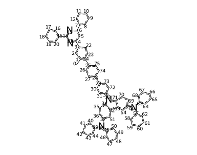 Cc1cc(-c2cc(-c3ccccc3)nc(-c3ccccc3)n2)ccc1-c1ccc(-c2ccc(-n3c4ccc(N(c5ccccc5)c5ccccc5)cc4c4cc(N(c5ccccc5)c5ccccc5)ccc43)cc2)cc1